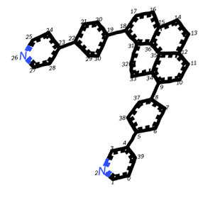 c1cncc(-c2ccc(-c3ccc4ccc5ccc(-c6ccc(-c7ccncc7)cc6)c6ccc3c4c56)cc2)c1